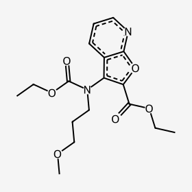 CCOC(=O)c1oc2ncccc2c1N(CCCOC)C(=O)OCC